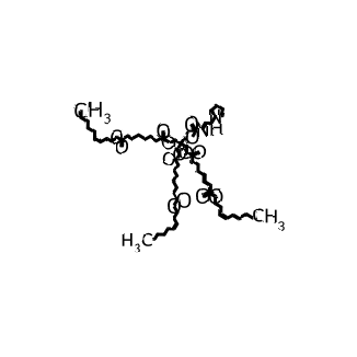 CCCCC/C=C\CCOC(=O)CCCCCCC(=O)OCC(COC(=O)CCCCCCC(=O)OCC/C=C\CCCCC)(COC(=O)CCCCCCC(=O)OCC/C=C\CCCCC)COC(=O)NCCN1CCCC1